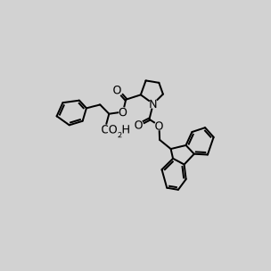 O=C(O)C(Cc1ccccc1)OC(=O)C1CCCN1C(=O)OCC1c2ccccc2-c2ccccc21